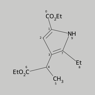 CCOC(=O)c1cc(C(C)C(=O)OCC)c(CC)[nH]1